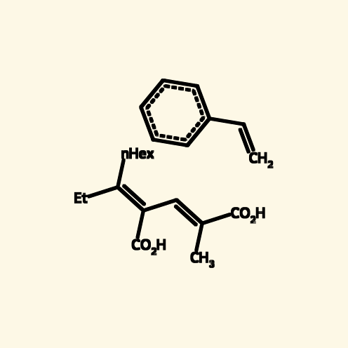 C=Cc1ccccc1.CCCCCCC(CC)=C(C=C(C)C(=O)O)C(=O)O